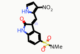 CNS(=O)(=O)c1ccc2c(c1)/C(=C/c1[nH]ccc1[N+](=O)[O-])C(=O)N2